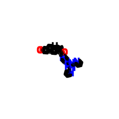 CC1C[C@H]2[C@@H]3CCC4=CC(=O)C=C[C@]4(C)C3=CC[C@]2(C)[C@H]1C(=O)CN1CCN(c2nc(-c3ccccn3)nc(-c3ccccn3)n2)CC1